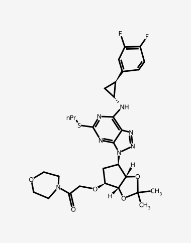 CCCSc1nc(N[C@@H]2C[C@H]2c2ccc(F)c(F)c2)c2nnn([C@@H]3C[C@H](OCC(=O)N4CCOCC4)[C@H]4OC(C)(C)O[C@H]43)c2n1